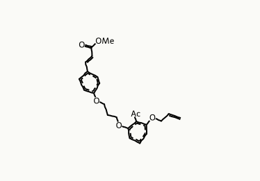 C=CCOc1cccc(OCCCOc2ccc(C=CC(=O)OC)cc2)c1C(C)=O